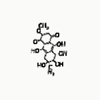 COC1=CC(=O)c2c(O)c3c(c(O)c2C1=O)C[C@](C)(O)[C@H](O)[C@H]3O